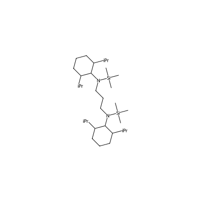 CC(C)C1CCCC(C(C)C)C1N(CCCN(C1C(C(C)C)CCCC1C(C)C)[Si](C)(C)C)[Si](C)(C)C